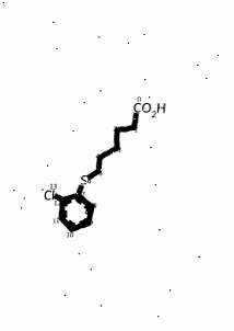 O=C(O)CCCCCSc1ccccc1Cl